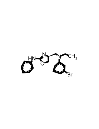 CCN(C[C@H]1COC(Nc2ccccc2)=N1)c1cccc(Br)c1